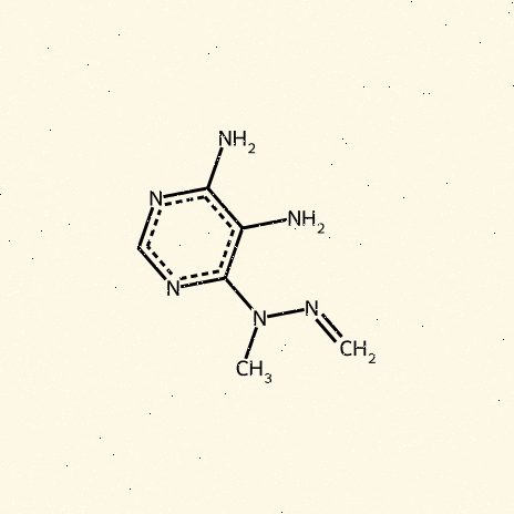 C=NN(C)c1ncnc(N)c1N